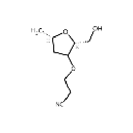 C[C@H]1CC(OCCC#N)[C@@H](CO)O1